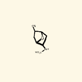 N#CC1CC2OC1CC2NC(=O)O